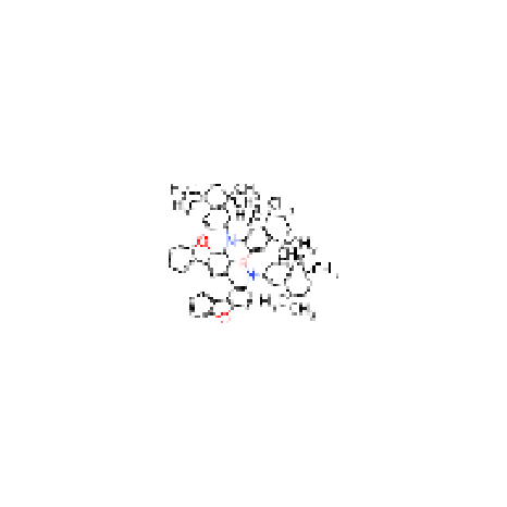 CC1(C)CCC(C)(C)c2cc(N3B4c5cc6c(cc5N(c5ccc7c(c5)C(C)(C)CCC7(C)C)c5c4c(cc4c5oc5ccccc54)-c4c3ccc3oc5ccccc5c43)C(C)(C)CCC6(C)C)ccc21